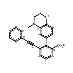 CN1CCOc2ccc(-c3c(C#Cc4ccncc4)cccc3C(=O)O)cc21